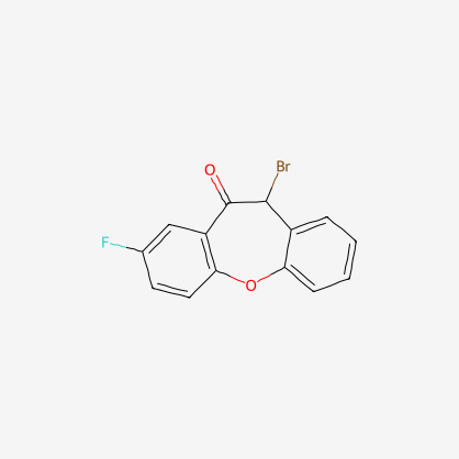 O=C1c2cc(F)ccc2Oc2ccccc2C1Br